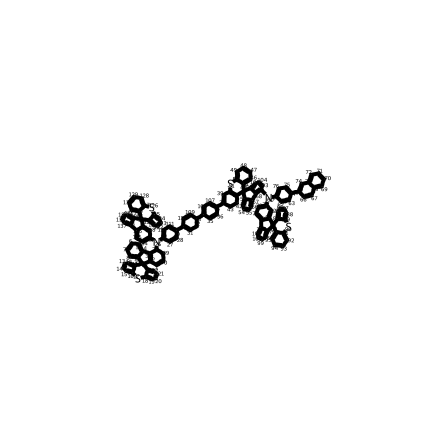 C1=CC2=C(c3ccccc3C23c2ccccc2Sc2ccccc23)C(N(c2ccc(C3=CCC(c4ccc(C5=CC6=C(CC5)C5(c7ccccc7S6)c6ccccc6-c6c(N(c7ccc(-c8ccc9ccccc9c8)cc7)c7ccc8c(c7)C7(c9ccccc9Sc9ccccc97)c7ccccc7-8)cccc65)cc4)C=C3)cc2)c2ccc3c(c2)C2(c4ccccc4Sc4ccccc42)c2ccccc2-3)C1